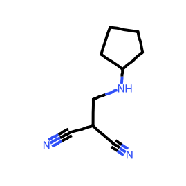 N#CC(C#N)CNC1CCCC1